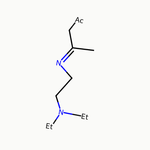 CCN(CC)CC/N=C(\C)CC(C)=O